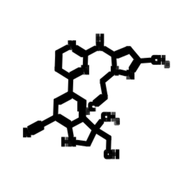 C=CCn1nc(C)cc1Nc1nccc(-c2cc(C#N)c3c(c2)C(C)(CO)CN3)n1